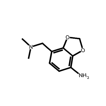 CN(C)Cc1ccc(N)c2c1OCO2